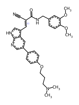 COc1ccc(CNC(=O)/C(C#N)=C/c2c[nH]c3ncc(-c4ccc(OCCCN(C)C)cc4)cc23)cc1OC